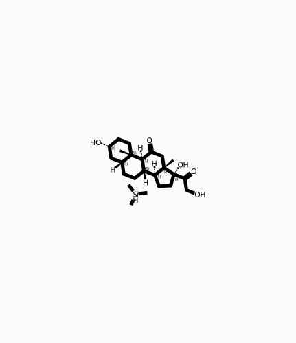 C[C@]12CC[C@@H](O)C[C@H]1CC[C@@H]1[C@@H]2C(=O)C[C@@]2(C)[C@H]1CC[C@]2(O)C(=O)CO.C[SiH](C)C